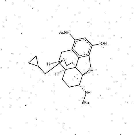 CCCCN[C@@H]1CC[C@H]2[C@H]3Cc4c(NC(C)=O)cc(O)c5c4[C@@]2(CCN3CC2CC2)[C@H]1O5